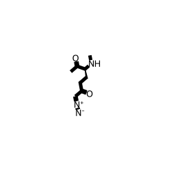 CN[C@@H](CCC(=O)C=[N+]=[N-])C(C)=O